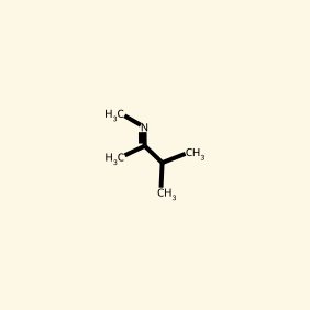 C/N=C(\C)C(C)C